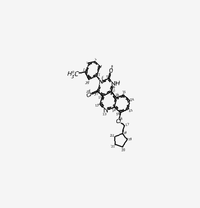 Cc1cccc(-n2c(=O)[nH]c3c(cnc4c(OCC5CCCC5)cccc43)c2=O)c1